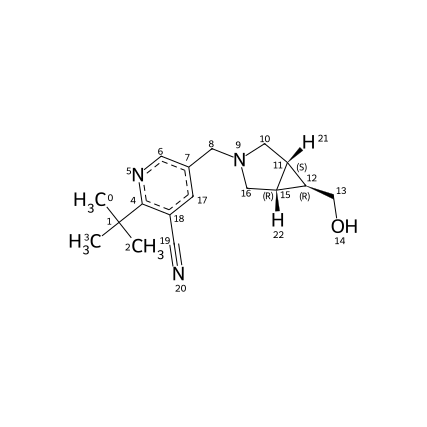 CC(C)(C)c1ncc(CN2C[C@@H]3[C@@H](CO)[C@@H]3C2)cc1C#N